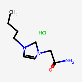 CCCCN1C=CN(CC(N)=O)C1.Cl